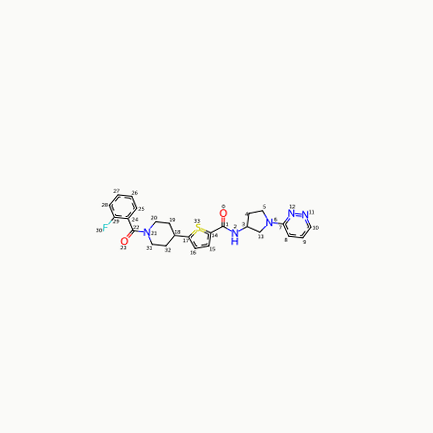 O=C(NC1CCN(c2cccnn2)C1)c1ccc(C2CCN(C(=O)c3ccccc3F)CC2)s1